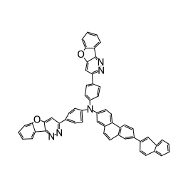 c1ccc2cc(-c3ccc4c(ccc5cc(N(c6ccc(-c7cc8oc9ccccc9c8nn7)cc6)c6ccc(-c7cc8oc9ccccc9c8nn7)cc6)ccc54)c3)ccc2c1